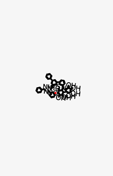 N=C(/N=C(\N=C\c1cc(-c2ccccc2)cc2c1sc1c(-n3c4c(O)c(O)c(O)c(O)c4c4c(O)c(O)c(O)c(O)c43)cccc12)c1ccccc1)c1ccccc1